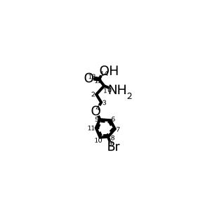 NC(CCOc1ccc(Br)cc1)C(=O)O